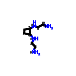 NCCNC1CCC1NCCN